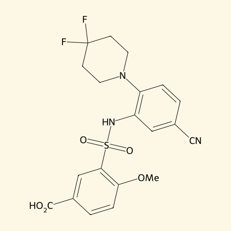 COc1ccc(C(=O)O)cc1S(=O)(=O)Nc1cc(C#N)ccc1N1CCC(F)(F)CC1